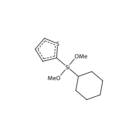 CO[Si](OC)(c1cccs1)C1CCCCC1